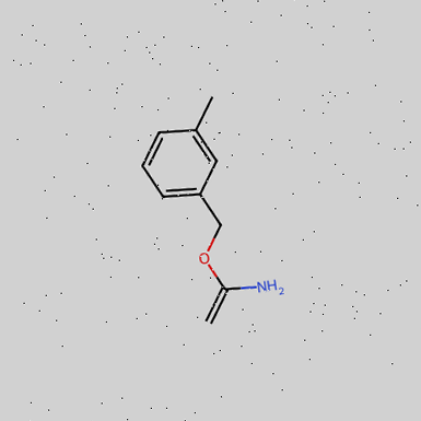 C=C(N)OCc1cccc(C)c1